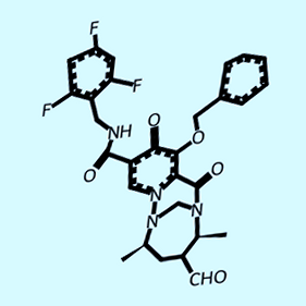 C[C@@H]1CC(C=O)[C@H](C)N2CN1n1cc(C(=O)NCc3c(F)cc(F)cc3F)c(=O)c(OCc3ccccc3)c1C2=O